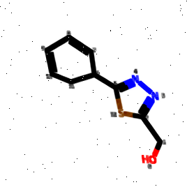 OCc1nnc(C2C=CC=CC2)s1